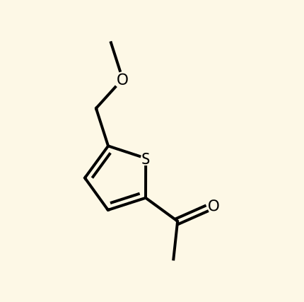 COCc1ccc(C(C)=O)s1